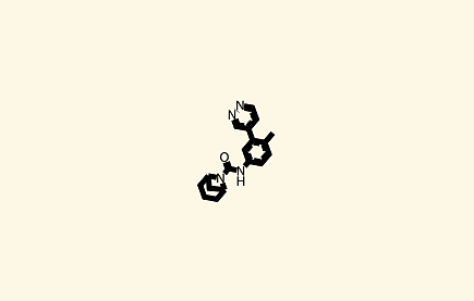 Cc1ccc(NC(=O)N2C3CCCC2C3)cc1-c1ccnnc1